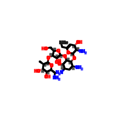 CNCC1=C[C@H](O)[C@@H](N)[C@@H](O[C@H]2[C@H](O[C@@H]3O[C@H](CO)[C@@H](O[C@H]4OC(CN)[C@@H](O)[C@H](O)[C@H]4C)[C@H]3O)[C@@H](O)[C@H](N)C[C@@H]2N)O1